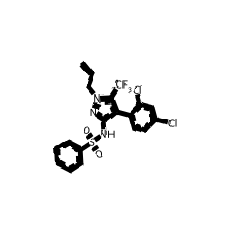 C=CCn1nc(NS(=O)(=O)c2ccccc2)c(-c2ccc(Cl)cc2Cl)c1C(F)(F)F